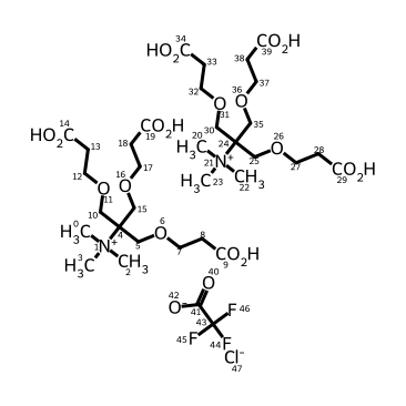 C[N+](C)(C)C(COCCC(=O)O)(COCCC(=O)O)COCCC(=O)O.C[N+](C)(C)C(COCCC(=O)O)(COCCC(=O)O)COCCC(=O)O.O=C([O-])C(F)(F)F.[Cl-]